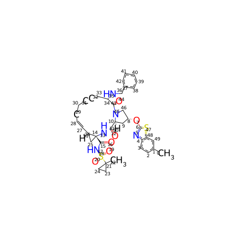 Cc1ccc2nc(O[C@@H]3C[C@H]4C(=O)N[C@]5(C(=O)NS(=O)(=O)C6(C)CC6)C[C@H]5/C=C\CCCCC[C@H](NCc5ccccc5)C(=O)N4C3)sc2c1